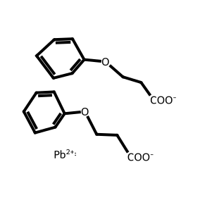 O=C([O-])CCOc1ccccc1.O=C([O-])CCOc1ccccc1.[Pb+2]